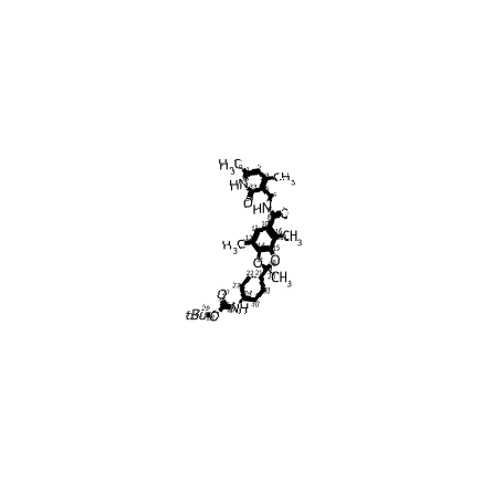 Cc1cc(C)c(CNC(=O)c2cc(C)c3c(c2C)O[C@@](C)([C@H]2CC[C@H](NC(=O)OC(C)(C)C)CC2)O3)c(=O)[nH]1